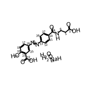 O.O.O=C(O)CCNC(=O)c1ccc(/N=N/c2ccc(O)c(C(=O)O)c2)cc1.[NaH]